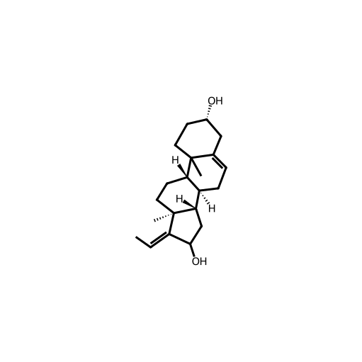 C/C=C1/C(O)C[C@H]2[C@@H]3CC=C4C[C@@H](O)CCC4(C)[C@H]3CC[C@]12C